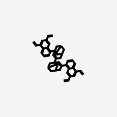 C=Cc1cc(C=C)c2cccc(C34CC5CC(C3)CC(C36CC7CC(CC(c8cccc9c(C=C)cc(C=C)cc89)(C7)C3)C6)(C5)C4)c2c1